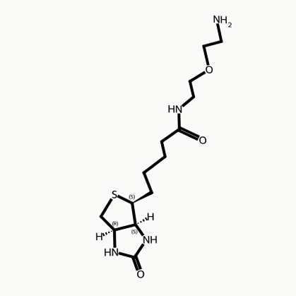 NCCOCCNC(=O)CCCC[C@@H]1SC[C@@H]2NC(=O)N[C@@H]21